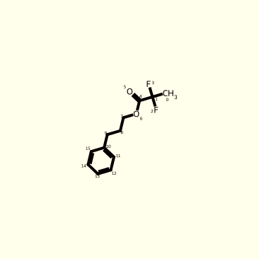 CC(F)(F)C(=O)OCCCc1ccccc1